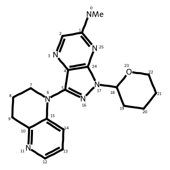 CNc1cnc2c(N3CCCc4ncccc43)nn(C3CCCCO3)c2n1